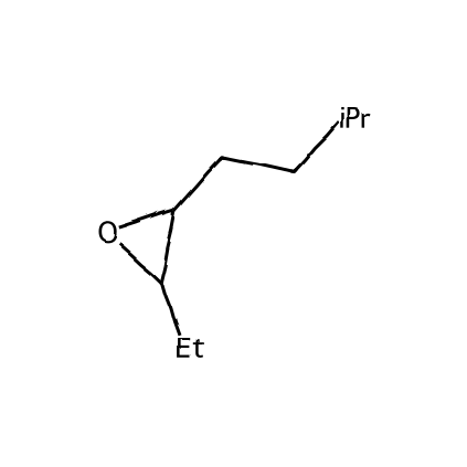 [CH2]C(C)CCC1OC1CC